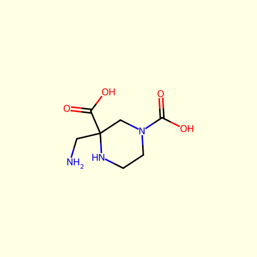 NCC1(C(=O)O)CN(C(=O)O)CCN1